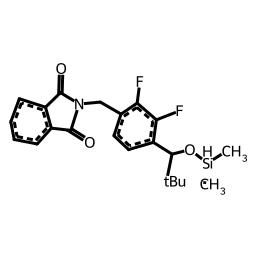 C[SiH](C)OC(c1ccc(CN2C(=O)c3ccccc3C2=O)c(F)c1F)C(C)(C)C